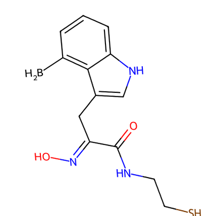 Bc1cccc2[nH]cc(C/C(=N\O)C(=O)NCCS)c12